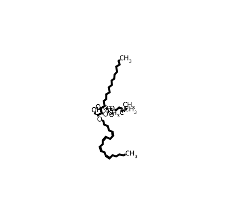 CCCCC/C=C\C/C=C\C/C=C\C/C=C\CCCCO[C@@H](CO)C(OP(=O)([O-])OCC[N+](C)(C)C)C(=O)CCCCCCCCCCCCCCC